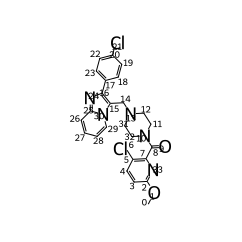 COc1ccc(Cl)c(C(=O)N2CCN(Cc3c(-c4ccc(Cl)cc4)nc4ccccn34)CC2)n1